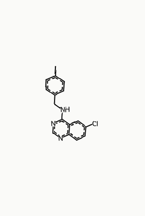 Cc1ccc(CNc2ncnc3ccc(Cl)cc23)cc1